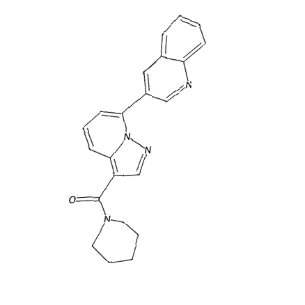 O=C(c1cnn2c(-c3cnc4ccccc4c3)cccc12)N1CCCCC1